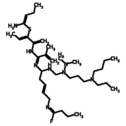 C=C(N/C(=N/C(CC=CC/N=C(/F)CCC)NCN(CCCN(CCC)CCCC)N(C)C)C(=C)C)/C(=C/C)S/C(N)=C\CC